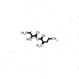 C=C(CCC)C(=O)OC(=O)C(O)CC